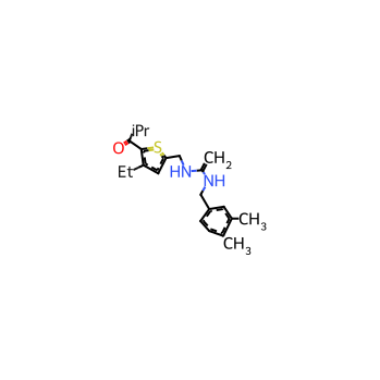 C=C(NCc1ccc(C)c(C)c1)NCc1cc(CC)c(C(=O)C(C)C)s1